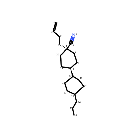 C=CCC[C@]1(C#N)CC[C@@H](C2CCC(CCC)CC2)CC1